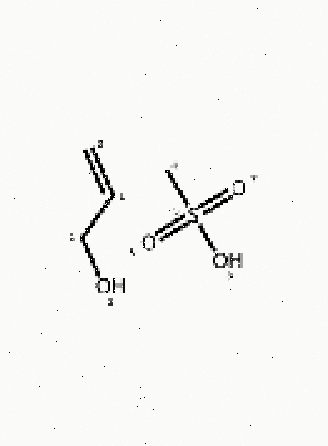 C=CCO.CS(=O)(=O)O